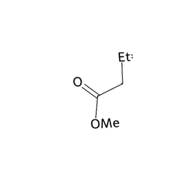 C[C]CC(=O)OC